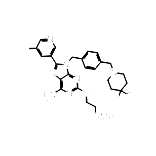 COCCOc1nc(N)c2nc(-c3cncc(F)c3)n(Cc3ccc(CN4CCC(F)(F)CC4)cc3)c2n1